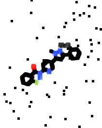 COc1ccccc1-c1cc(-c2ccc(NC(=O)c3ccccc3F)nc2)n(C)n1